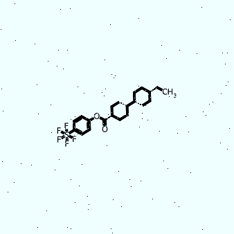 CC[C@H]1CC[C@H]([C@H]2CC[C@H](C(=O)Oc3ccc(S(F)(F)(F)(F)F)cc3)CC2)CC1